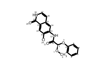 CO[C@H](Oc1ccccc1)C(=O)Nc1cc2cc[nH]c(=O)c2cc1Cl